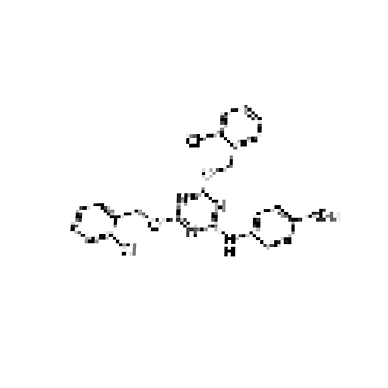 CC(C)(C)c1ccc(Nc2nc(OCc3ccccc3Cl)nc(OCc3ccccc3Cl)n2)cc1